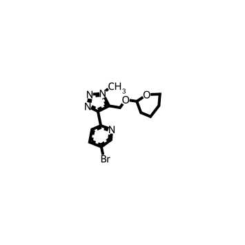 Cn1nnc(-c2ccc(Br)cn2)c1COC1CCCCO1